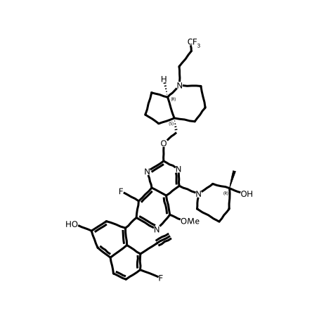 C#Cc1c(F)ccc2cc(O)cc(-c3nc(OC)c4c(N5CCC[C@@](C)(O)C5)nc(OC[C@]56CCC[C@H]5N(CCC(F)(F)F)CCC6)nc4c3F)c12